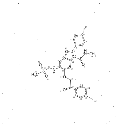 CNC(=O)c1c(-c2ccc(F)cc2)oc2cc(NCS(C)(=O)=O)c(OCC(=O)c3ccc(F)cc3)cc12